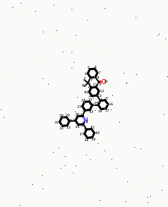 CC1(C)c2ccccc2C(=O)c2cc(-c3ccccc3-c3cccc(-c4cc(-c5ccccc5)cc(-c5ccccc5)n4)c3)ccc21